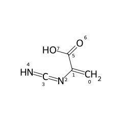 C=C(N=C=N)C(=O)O